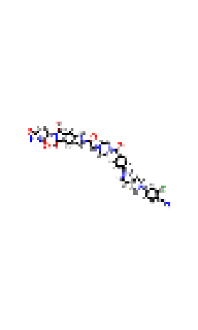 N#Cc1ccc(N2CCC3(CC2)CCN(c2ccc(C(=O)N4CCN(CC(=O)N5Cc6cc7c(cc6C5)C(=O)N(C5CCC(=O)NC5=O)C7=O)CC4)cc2)C3)cc1Cl